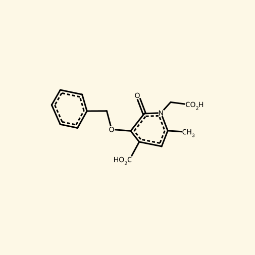 Cc1cc(C(=O)O)c(OCc2ccccc2)c(=O)n1CC(=O)O